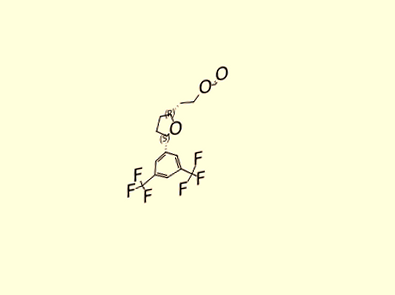 O=COCC[C@H]1CC[C@@H](c2cc(C(F)(F)F)cc(C(F)(F)F)c2)O1